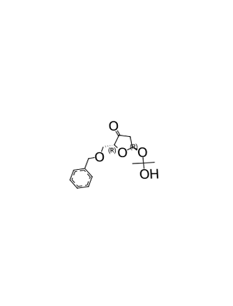 CC(C)(O)O[C@@H]1CC(=O)[C@@H](COCc2ccccc2)O1